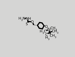 CC(C)(C)[Si](C)(C)O[C@H]1CC[C@H](COC(=S)NN)CC1